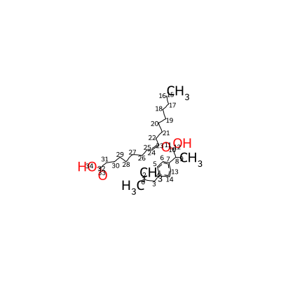 CC(C)Cc1ccc(C(C)C(=O)O)cc1.CCCCCCCC/C=C\CCCCCCCC(=O)O